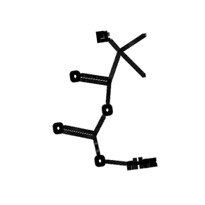 CCCCCCOC(=O)OC(=O)C(C)(C)CC